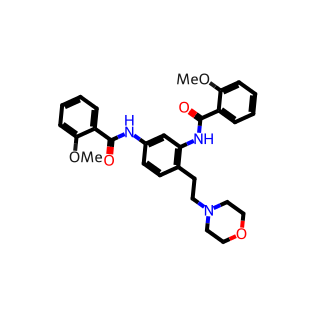 COc1ccccc1C(=O)Nc1ccc(CCN2CCOCC2)c(NC(=O)c2ccccc2OC)c1